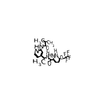 CC(C)C(=O)Nc1cc(C(C)NC(=O)C2=CC=C(OCC(F)(F)C(F)F)NN2)ccn1